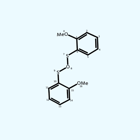 COc1ccccc1SOSc1ccccc1OC